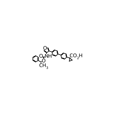 C[C@@H](OC(=O)Nc1cocc1-c1ccc(-c2ccc(C3(C(=O)O)CC3)cc2)cc1)c1ccccc1